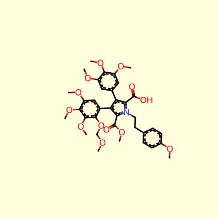 COCOc1c(-c2c(-c3cc(OC)c(OC)c(OC)c3)c(C(=O)O)n(CCc3ccc(OC)cc3)c2C(=O)OC)cc(OC)c(OC)c1OC